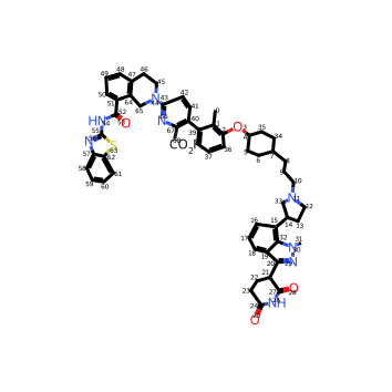 Cc1c(OC2CCC(CCCN3CCC(c4cccc5c(C6CCC(=O)NC6=O)nn(C)c45)C3)CC2)cccc1-c1ccc(N2CCc3cccc(C(=O)Nc4nc5ccccc5s4)c3C2)nc1C(=O)O